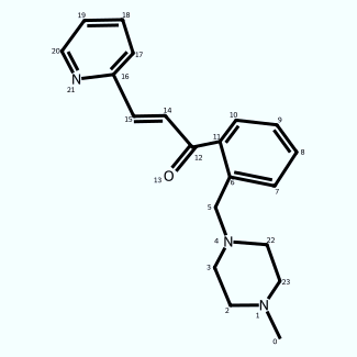 CN1CCN(Cc2ccccc2C(=O)C=Cc2ccccn2)CC1